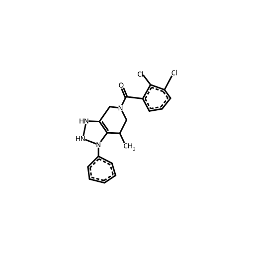 CC1CN(C(=O)c2cccc(Cl)c2Cl)CC2=C1N(c1ccccc1)NN2